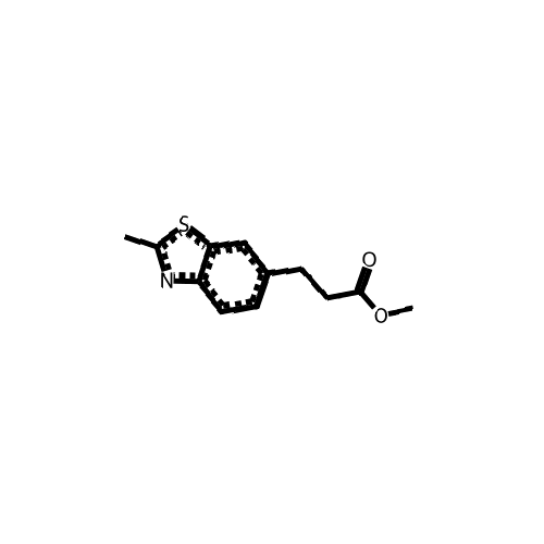 COC(=O)CCc1ccc2nc(C)sc2c1